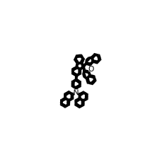 c1ccc2c(c1)-c1ccc(-c3ccc(N(c4ccc5ccccc5c4)c4cccc5ccccc45)cc3)cc1C21c2ccc3ccccc3c2Oc2c1ccc1ccccc21